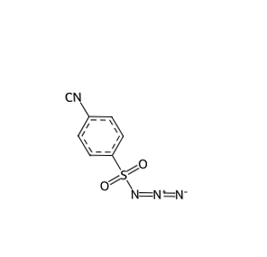 [C-]#[N+]c1ccc(S(=O)(=O)N=[N+]=[N-])cc1